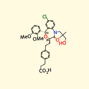 COc1cccc([C@H]2O[C@H](CCc3ccc(CCC(=O)O)cc3)C(=O)N(CC(C)(C)CO)c3ccc(Cl)cc32)c1OC